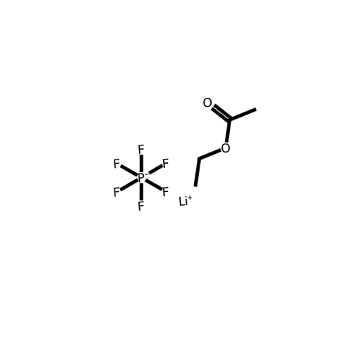 CCOC(C)=O.F[P-](F)(F)(F)(F)F.[Li+]